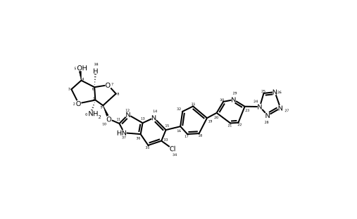 N[C@]12OC[C@@H](O)[C@H]1OC[C@H]2Oc1nc2nc(-c3ccc(-c4ccc(-n5cnnn5)nc4)cc3)c(Cl)cc2[nH]1